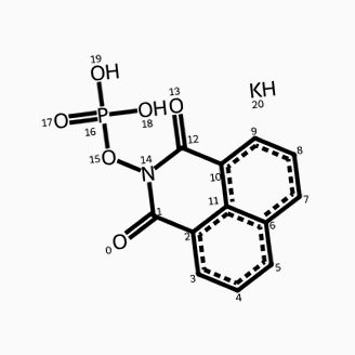 O=C1c2cccc3cccc(c23)C(=O)N1OP(=O)(O)O.[KH]